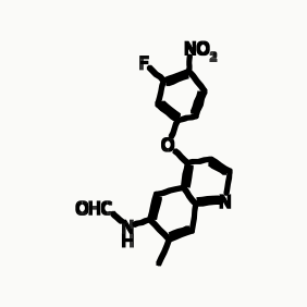 Cc1cc2nccc(Oc3ccc([N+](=O)[O-])c(F)c3)c2cc1NC=O